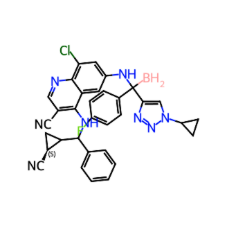 BC(Nc1cc(Cl)c2ncc(C#N)c(NC(c3ccccc3)C3C[C@@H]3C#N)c2c1)(c1ccc(F)cc1)c1cn(C2CC2)nn1